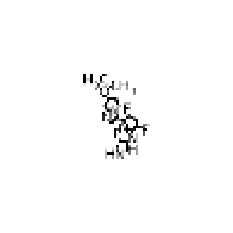 CC(C)Oc1ccn2c(-c3nc(N[C@H]4CNC[C@@H]4F)c(F)cc3F)cnc2c1